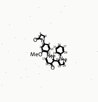 COc1cc(N2CCC2=O)ccc1-n1ccc(=O)c(-c2ccnn2-c2ccccc2)n1